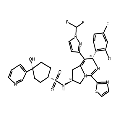 O=S(=O)(N[C@H]1CC2=C(c3ccn(C(F)F)n3)[C@H](c3ccc(F)cc3Cl)N=C(c3nccs3)N2C1)[C@H]1CC[C@](O)(c2cccnc2)CC1